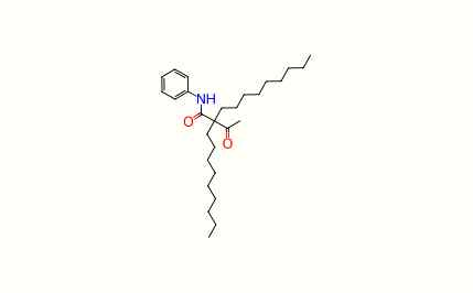 CCCCCCCCCC(CCCCCCCCC)(C(C)=O)C(=O)Nc1ccccc1